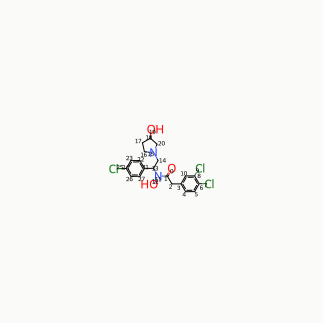 O=C(Cc1ccc(Cl)c(Cl)c1)N(O)C(CN1CCC(O)C1)c1ccc(Cl)cc1